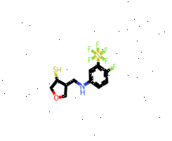 Fc1ccc(NCC2COCC2S)cc1S(F)(F)(F)(F)F